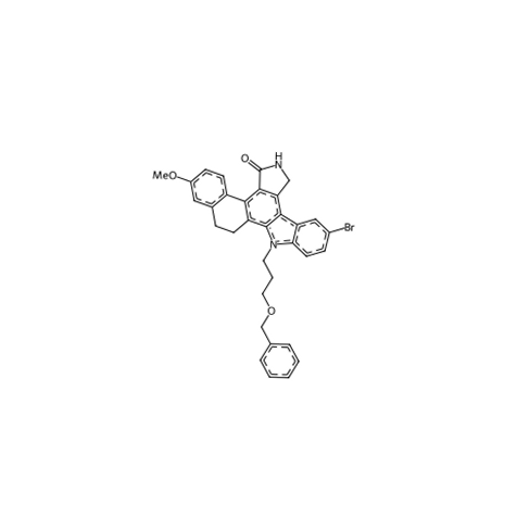 COc1ccc2c(c1)CCc1c-2c2c(c3c4cc(Br)ccc4n(CCCOCc4ccccc4)c13)CNC2=O